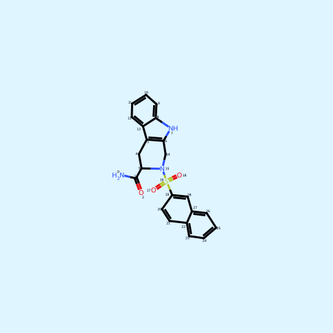 NC(=O)C1Cc2c([nH]c3ccccc23)CN1S(=O)(=O)c1ccc2ccccc2c1